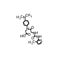 Cc1ccsc1NC(=O)NCC(=O)N(CC(=O)O)c1ccc(N(C)C)cc1